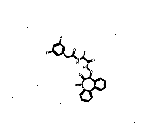 C[C@H](NC(=O)Cc1cc(F)cc(F)c1)C(=O)NOC1C(=O)N(C)c2ccccc2-c2ccccc21